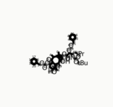 CC1=C2C(C)C(=O)[C@]3(C)[C@@H](OC(=O)OCc4ccccc4)C[C@H]4OC[C@@]4(C)[C@H]3[C@H](C)[C@](O)(CC1OC(=O)C(OCOCc1ccccc1)[C@H](CC(C)C)NC(=O)OC(C)(C)C)C2(C)C